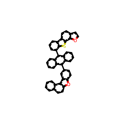 c1ccc2c(c1)ccc1oc3ccc(-c4c5ccccc5c(-c5cccc6c5sc5c6ccc6ccoc65)c5ccccc45)cc3c12